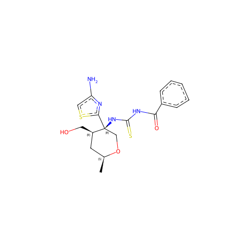 C[C@H]1C[C@@H](CO)[C@](NC(=S)NC(=O)c2ccccc2)(c2nc(N)cs2)CO1